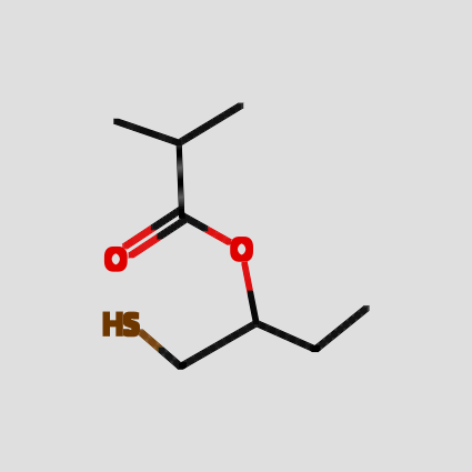 CCC(CS)OC(=O)C(C)C